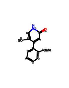 COc1ccccc1-c1cc(=O)[nH]cc1C#N